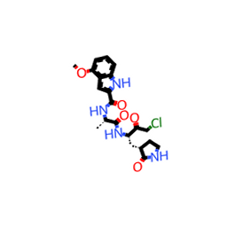 COc1cccc2[nH]c(C(=O)N[C@@H](C)C(=O)N[C@@H](C[C@@H]3CCNC3=O)C(=O)CCl)cc12